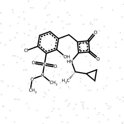 CON(C)S(=O)(=O)c1c(Cl)ccc(Cc2c(N[C@@H](C)C3CC3)c(=O)c2=O)c1O